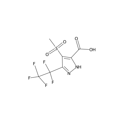 CS(=O)(=O)c1c(C(F)(F)C(F)(F)F)n[nH]c1C(=O)O